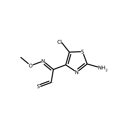 CO/N=C(\[C]=S)c1nc(N)sc1Cl